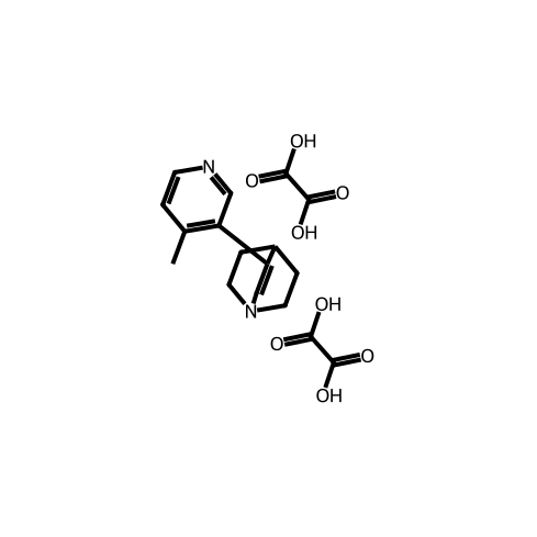 Cc1ccncc1C1=CN2CCC1CC2.O=C(O)C(=O)O.O=C(O)C(=O)O